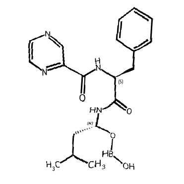 CC(C)C[C@H](NC(=O)[C@H](Cc1ccccc1)NC(=O)c1cnccn1)OBO